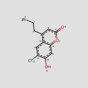 CC(C)CCc1cc(=O)oc2cc(O)c(Cl)cc12